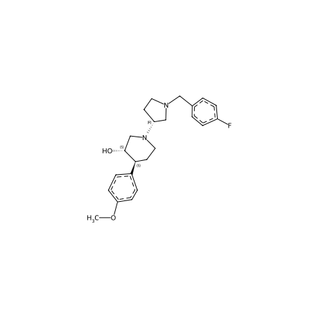 COc1ccc([C@@H]2CCN([C@@H]3CCN(Cc4ccc(F)cc4)C3)C[C@H]2O)cc1